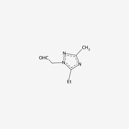 CCc1nc(C)nn1CC=O